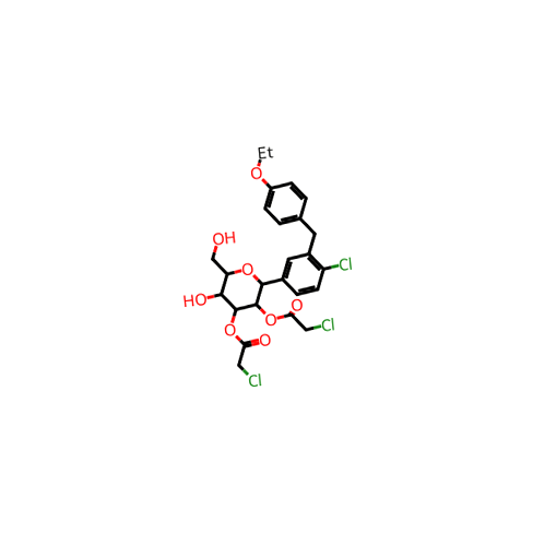 CCOc1ccc(Cc2cc(C3OC(CO)C(O)C(OC(=O)CCl)C3OC(=O)CCl)ccc2Cl)cc1